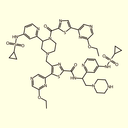 CCOc1cncc(-c2cnc(C(=O)N3CCN(Cc4nc(C(=O)NC(CN5CCNCC5)c5cc(NS(=O)(=O)C6CC6)ccn5)sc4-c4cncc(OCC)n4)CC3c3cc(NS(=O)(=O)C4CC4)ccn3)s2)n1